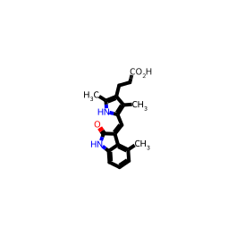 Cc1cccc2c1/C(=C/c1[nH]c(C)c(CCC(=O)O)c1C)C(=O)N2